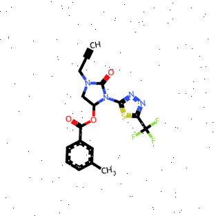 C#CCN1CC(OC(=O)c2cccc(C)c2)N(c2nnc(C(F)(F)F)s2)C1=O